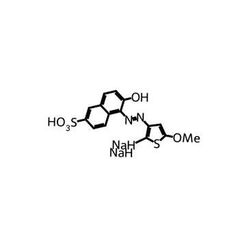 COc1cc(N=Nc2c(O)ccc3cc(S(=O)(=O)O)ccc23)c(C)s1.[NaH].[NaH]